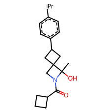 CC(C)c1ccc(C2CC3(C2)CN(C(=O)C2CCC2)C3(C)O)cc1